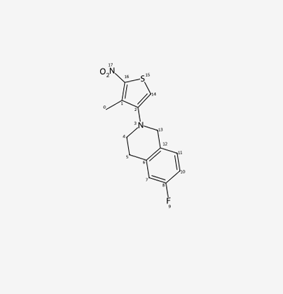 Cc1c(N2CCc3cc(F)ccc3C2)csc1[N+](=O)[O-]